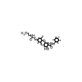 CCCNC(=O)CCc1cc(I)c(Oc2ccc(O)c(C(=O)NCc3ccccc3)c2)c(I)c1